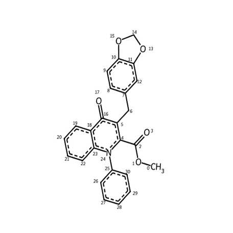 COC(=O)c1c(Cc2ccc3c(c2)OCO3)c(=O)c2ccccc2n1-c1ccccc1